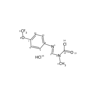 CN(C=Nc1ccc(OC(F)(F)F)cc1)C(=O)Cl.Cl